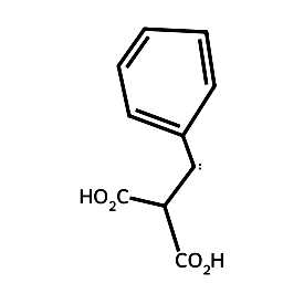 O=C(O)C([C]c1ccccc1)C(=O)O